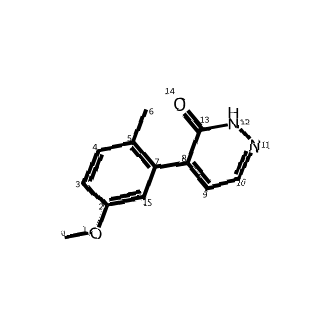 COc1ccc(C)c(-c2ccn[nH]c2=O)c1